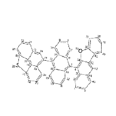 c1ccc2c(-c3c4ccccc4c(-c4cc5cccc6sc7cccc4c7c56)c4ccccc34)c3oc4ccccc4c3cc2c1